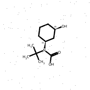 CC(C)(C)N(C(=O)O)[C@H]1CCC[C@@H](O)C1